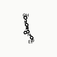 CCOc1ccc(C=Nc2ccc(N=Nc3ccc(N=Cc4ccc(O)cc4)cc3)c3ccccc23)cc1